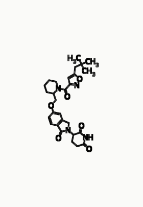 CC(C)(C)Cc1cc(C(=O)N2CCCCC2COc2ccc3c(c2)CN(C2CCC(=O)NC2=O)C3=O)no1